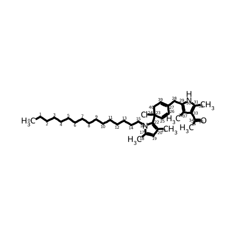 CCCCCCCCCCCCCCCCn1c(C)cc(C)c1C1(Cl)C=CC(Cc2[nH]c(C)c(C(C)=O)c2C)=CC1